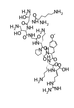 COc1ccc(C[C@H](NC(=O)[C@@H]2CCCN2C(=O)[C@@H](CCCN)NC(=O)CNC(=O)[C@@H](NC(=O)[C@@H](NC(=O)[C@@H](N)CCCCN)[C@@H](O)CN)[C@@H](O)CN)C(=O)N[C@@H](CCCCN)C(=O)N/C(=C\CCNC(=N)N)C(=O)O)cc1